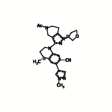 CC(=O)N1CCc2c(c(N3CC[C@@H](C)c4cc(-c5cnn(C)c5)c(C#N)cc43)nn2[C@H]2CCOC2)C1